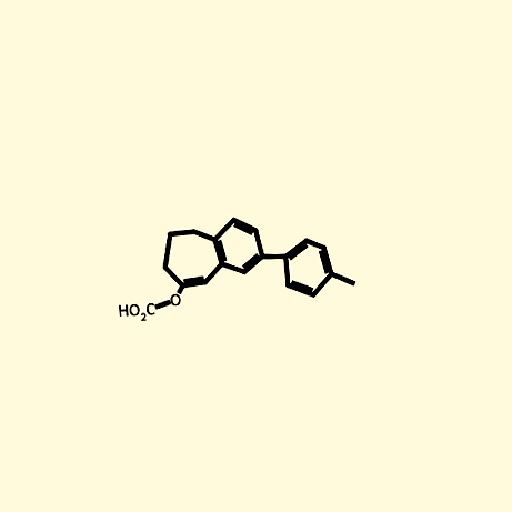 Cc1ccc(-c2ccc3c(c2)C=C(OC(=O)O)CCC3)cc1